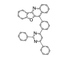 c1ccc(-c2cc(-c3cccc(-c4c5ccccc5nc5c4oc4ccccc45)c3)nc(-c3ccccc3)n2)cc1